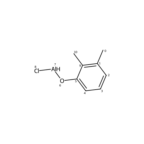 Cc1cccc([O][AlH][Cl])c1C